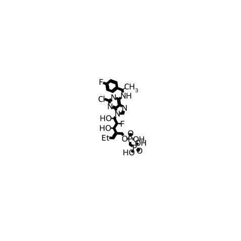 CC/C=C(/COP(=O)(O)CP(=O)(O)O)[C@@H](O)[C@H](F)[C@@H](O)n1cnc2c(N[C@@H](C)c3ccc(F)cc3)nc(Cl)nc21